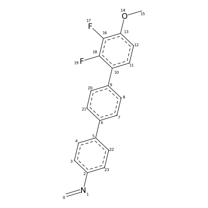 C=Nc1ccc(-c2ccc(-c3ccc(OC)c(F)c3F)cc2)cc1